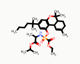 CCCCC(C)(C)c1cc2c(c(OP(=O)(NC(C)C(=O)OC(C)C)C(=O)OCC)c1)C1C=C(C)CCC1C(C)(C)O2